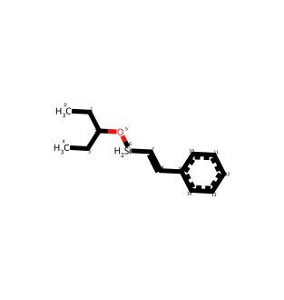 CCC(CC)O[SiH2]C=Cc1ccccc1